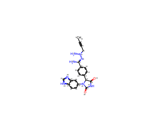 CC#CCN(N)/N=C(\N)c1ccc(C2C(=O)NC(=O)N2c2ccc3[nH]cnc3c2)cc1